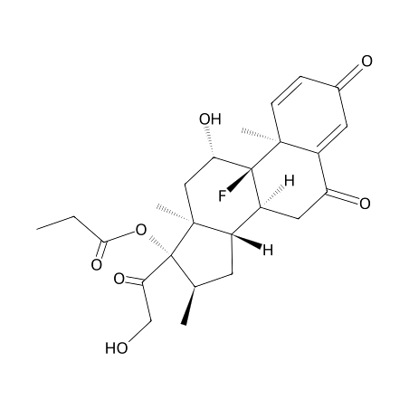 CCC(=O)O[C@@]1(C(=O)CO)[C@H](C)C[C@H]2[C@@H]3CC(=O)C4=CC(=O)C=C[C@]4(C)[C@@]3(F)[C@@H](O)C[C@@]21C